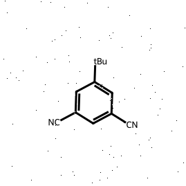 CC(C)(C)c1cc(C#N)cc(C#N)c1